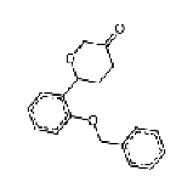 O=C1CCC(c2ccccc2OCc2ccccc2)OC1